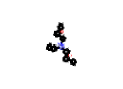 C1=Cc2c(oc3c2CC(c2nc(-c4cccc(-c5cccc6c5oc5ccccc56)c4)nc(-c4ccc5ccccc5c4)n2)C=C3)C(c2ccccc2)C1